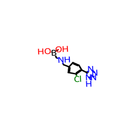 OB(O)CNCc1ccc(-c2nnn[nH]2)c(Cl)c1